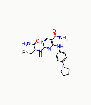 CC(C)CC(Nc1ncc(C(N)=O)c(Nc2ccc(N3CCCC3)cc2)n1)C(N)=O